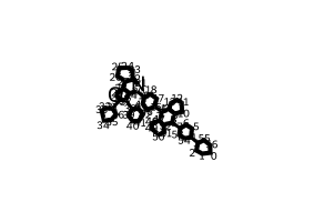 c1ccc(-c2ccc(-c3c4ccccc4c(-c4ccc(-c5nc6ccccc6c6oc(-c7ccccc7)c(-c7ccccc7)c56)cc4)c4ccccc34)cc2)cc1